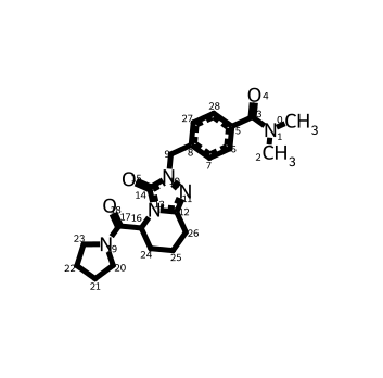 CN(C)C(=O)c1ccc(Cn2nc3n(c2=O)C(C(=O)N2CCCC2)CCC3)cc1